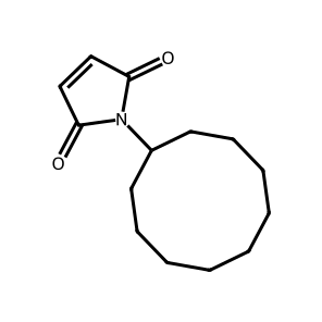 O=C1C=CC(=O)N1C1CCCCCCCCC1